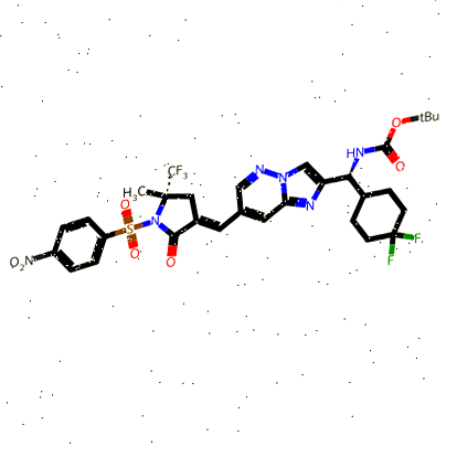 CC(C)(C)OC(=O)N[C@H](c1cn2ncc(/C=C3\C[C@@](C)(C(F)(F)F)N(S(=O)(=O)c4ccc([N+](=O)[O-])cc4)C3=O)cc2n1)C1CCC(F)(F)CC1